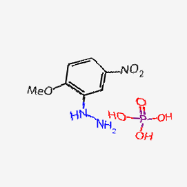 COc1ccc([N+](=O)[O-])cc1NN.O=P(O)(O)O